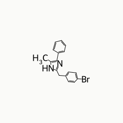 Cc1[nH]c(Cc2ccc(Br)cc2)nc1-c1ccccc1